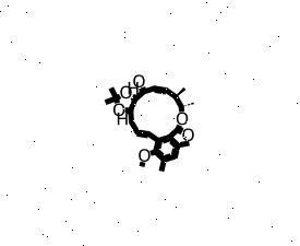 COc1c(C)cc(C)c2c1/C=C/C[C@@H]1OC(C)(C)O[C@@H]1C(=O)/C=C\[C@@H](C)[C@H](C)OC2=O